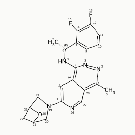 Cc1nnc(N[C@H](C)c2cccc(F)c2F)c2cc(N3CC4CC(C3)O4)ncc12